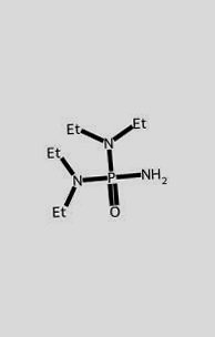 CCN(CC)P(N)(=O)N(CC)CC